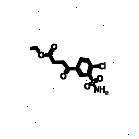 CCOC(=O)CCC(=O)c1ccc(Cl)c(S(N)(=O)=O)c1